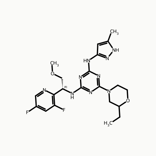 CCC1CN(c2nc(Nc3cc(C)[nH]n3)nc(N[C@@H](COC)c3ncc(F)cc3F)n2)CCO1